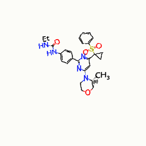 CCNC(=O)Nc1ccc(-c2nc(N3CCOC[C@H]3C)cc(C3(S(=O)(=O)c4ccccc4)CC3)n2)cc1